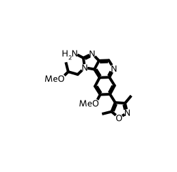 COc1cc2c(cc1-c1c(C)noc1C)ncc1nc(N)n(CC(C)OC)c12